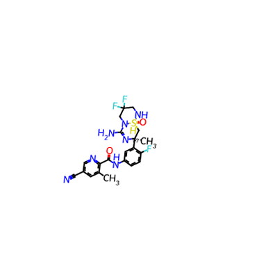 Cc1cc(C#N)cnc1C(=O)Nc1ccc(F)c([C@]2(C)C[SH]3(=O)NCC(F)(F)CN3C(N)=N2)c1